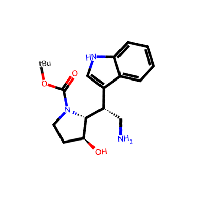 CC(C)(C)OC(=O)N1CC[C@H](O)[C@H]1[C@@H](CN)c1c[nH]c2ccccc12